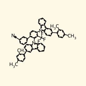 Cc1ccc(-c2ccc3c(c2)c2ccccc2n3-c2ccc(-c3cccc(C#N)c3)c(-n3c4ccccc4c4cc(-c5ccc(C)cc5C)ccc43)c2C(F)(F)F)c(C)c1